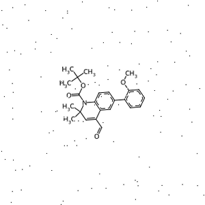 COc1ccccc1-c1ccc2c(c1)C(C=O)=CC(C)(C)N2C(=O)OC(C)(C)C